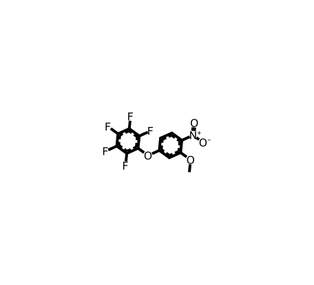 COc1cc(Oc2c(F)c(F)c(F)c(F)c2F)ccc1[N+](=O)[O-]